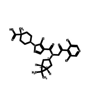 CC1(C)[C@@H]2C[C@@H](N(CC(=O)c3c(Cl)cncc3Cl)C(=O)c3cnn([C@H]4CC[C@](C)(C(=O)O)CC4)c3Cl)C[C@@H]21